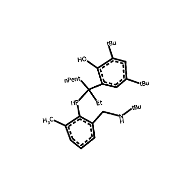 CCCCCC(CC)(Pc1c(C)cccc1CNC(C)(C)C)c1cc(C(C)(C)C)cc(C(C)(C)C)c1O